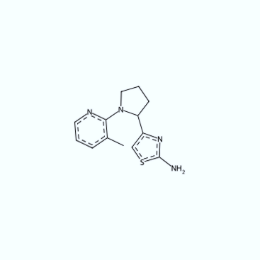 Cc1cccnc1N1CCCC1c1csc(N)n1